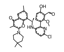 COc1c(-c2nc(Cl)ccc2N[C@H](C)c2cc(C)cc3c(=O)c(C)c(N4CCC(C)(C)CC4)oc23)ccc(O)c1C=O